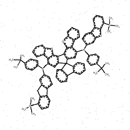 CC(C)(C)c1ccc(N(c2ccc3c(c2)Cc2c-3cccc2[Si](C)(C)C)c2cc3c(c4oc5ccccc5c24)-c2c(cc(N(c4ccc(C(C)(C)C)cc4)c4ccc5c(c4)oc4c([Si](C)(C)C)cccc45)c4c2oc2ccccc24)C32c3ccccc3-c3ccccc32)cc1